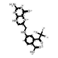 Nc1nc2[nH]cc(CNc3ccc(C(=O)O)c(C(=O)C(F)(F)F)c3)nc-2c(=O)n1